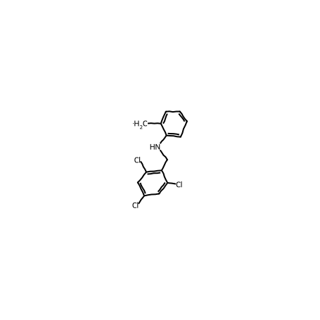 [CH2]c1ccccc1NCc1c(Cl)cc(Cl)cc1Cl